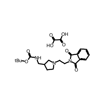 CC(C)(C)OC(=O)NCC1CCN(CCN2C(=O)c3ccccc3C2=O)C1.O=C(O)C(=O)O